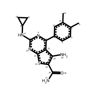 Cc1ccc(-c2nc(NC3CC3)nc3sc(C(N)=O)c(N)c23)cc1C